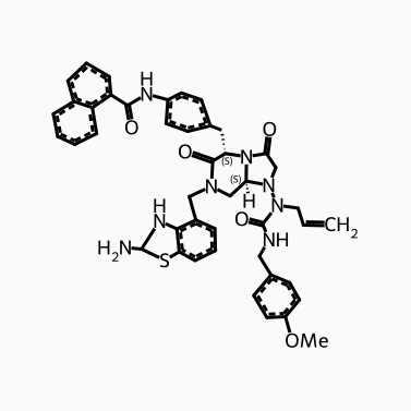 C=CCN(C(=O)NCc1ccc(OC)cc1)N1CC(=O)N2[C@@H](Cc3ccc(NC(=O)c4cccc5ccccc45)cc3)C(=O)N(Cc3cccc4c3NC(N)S4)C[C@@H]21